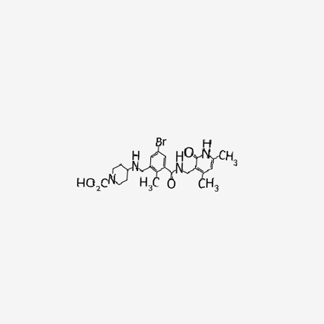 Cc1cc(C)c(CNC(=O)c2cc(Br)cc(CNC3CCN(C(=O)O)CC3)c2C)c(=O)[nH]1